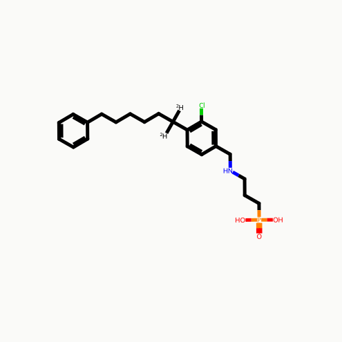 [2H]C([2H])(CCCCCc1ccccc1)c1ccc(CNCCCP(=O)(O)O)cc1Cl